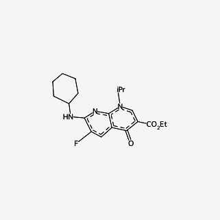 CCOC(=O)c1cn(C(C)C)c2nc(NC3CCCCC3)c(F)cc2c1=O